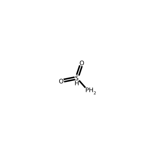 O=[SH](=O)P